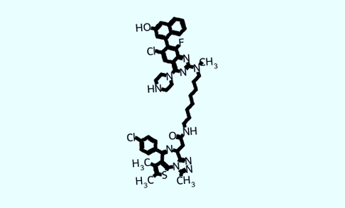 Cc1sc2c(c1C)C(c1ccc(Cl)cc1)=NC(CC(=O)NCCCCCCCCN(C)c1nc(N3CCNCC3)c3cc(Cl)c(-c4cc(O)cc5ccccc45)c(F)c3n1)c1nnc(C)n1-2